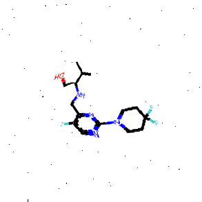 CC(C)[C@H](CO)NCc1nc(N2CCC(F)(F)CC2)ncc1F